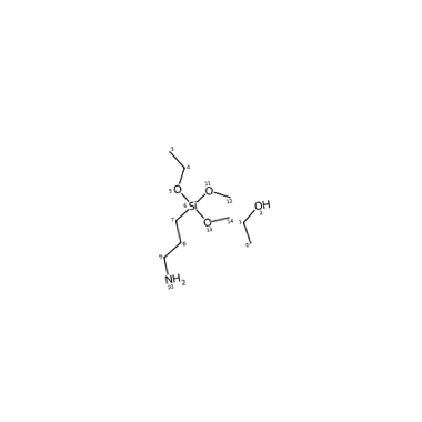 CCO.CCO[Si](CCCN)(OC)OC